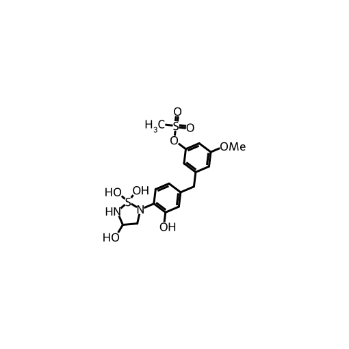 COc1cc(Cc2ccc(N3CC(O)NS3(O)O)c(O)c2)cc(OS(C)(=O)=O)c1